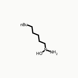 CCCCCCCCCN(N)O